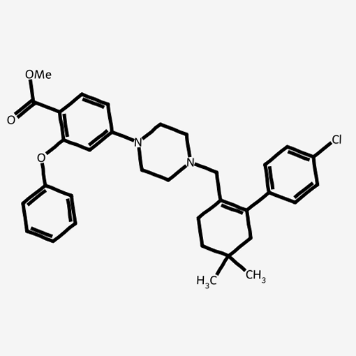 COC(=O)c1ccc(N2CCN(CC3=C(c4ccc(Cl)cc4)CC(C)(C)CC3)CC2)cc1Oc1ccccc1